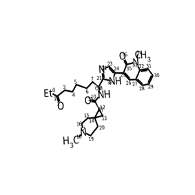 CCC(=O)CCCCC[C@H](NC(=O)[C@H]1CC12CCN(C)CC2)c1ncc(-c2cc3ccccc3n(C)c2=O)[nH]1